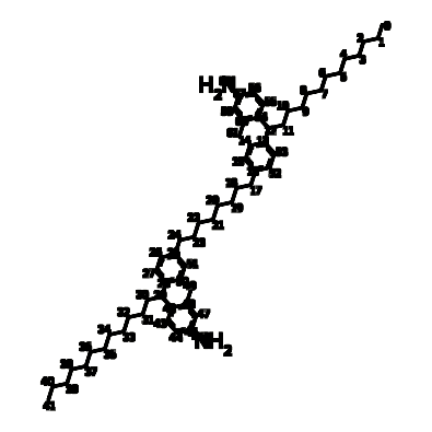 CCCCCCCCCCCCC(c1ccc(CCCCCCCCc2ccc(C(CCCCCCCCCCCC)c3ccc(N)cc3C)cc2)cc1)c1ccc(N)cc1C